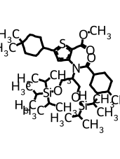 COC(=O)c1sc(C2CCC(C)(C)CC2)cc1N(C(=O)C1CCC(C)CC1)C(CO[SiH](C(C)C)C(C)C)CO[Si](C(C)C)(C(C)C)C(C)C